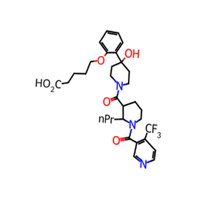 CCCC1C(C(=O)N2CCC(O)(c3ccccc3OCCCCC(=O)O)CC2)CCCN1C(=O)c1cnccc1C(F)(F)F